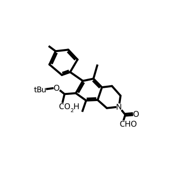 Cc1ccc(-c2c(C)c3c(c(C)c2C(OC(C)(C)C)C(=O)O)CN(C(=O)C=O)CC3)cc1